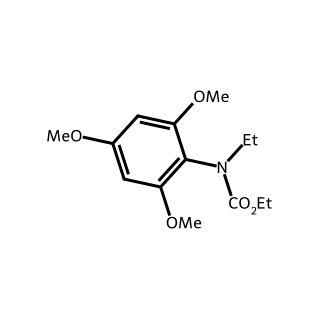 CCOC(=O)N(CC)c1c(OC)cc(OC)cc1OC